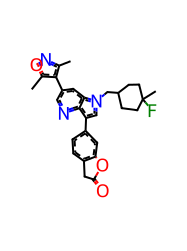 Cc1noc(C)c1-c1cnc2c(-c3ccc4c(c3)OC(=O)C4)cn(CC3CCC(C)(F)CC3)c2c1